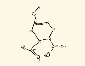 COC1=CCC(C(=O)O)C(C(=O)O)C1